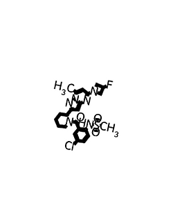 Cc1cc(N2CC(F)C2)nc2cc(C3CCCCN3C(=O)c3cc(Cl)ccc3NS(C)(=O)=O)nn12